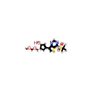 COCOC[C@H]1CC(c2csc3c(S(=O)(=O)C(C)(C)C)ncnc23)=C[C@@H]1O